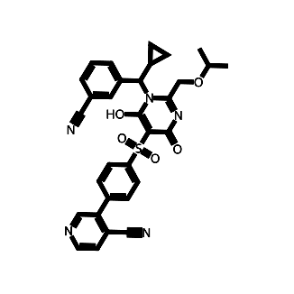 CC(C)OCc1nc(=O)c(S(=O)(=O)c2ccc(-c3cnccc3C#N)cc2)c(O)n1C(c1cccc(C#N)c1)C1CC1